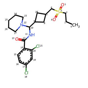 CCCS(=O)(=O)CC1CC(C(NC(=O)c2ccc(Cl)cc2Cl)N2CCCCC2)C1